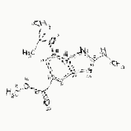 CNc1nc2c(OC(C)C)cc(C(=O)OC)cc2s1